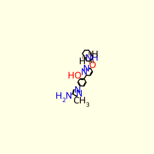 Cc1nn(-c2ccc(-c3ccc(O[C@@H]4C[C@H]5CCC[C@@H](C4)N5)nn3)c(O)c2)cc1N